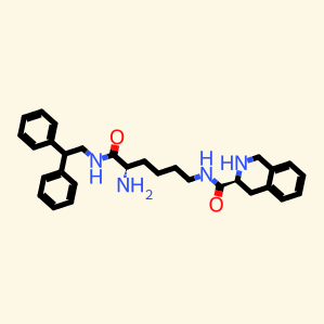 N[C@@H](CCCCNC(=O)[C@@H]1Cc2ccccc2CN1)C(=O)NCC(c1ccccc1)c1ccccc1